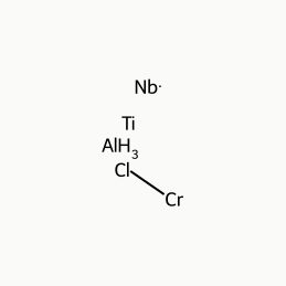 [AlH3].[Cl][Cr].[Nb].[Ti]